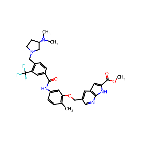 COC(=O)c1cc2cc(COc3cc(NC(=O)c4ccc(CN5CCC(N(C)C)C5)c(C(F)(F)F)c4)ccc3C)cnc2[nH]1